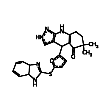 CC1(C)CCC2=C(C1=O)C(c1ccc(SC3=NC4C=CC=CC4N3)o1)c1c[nH]nc1N2